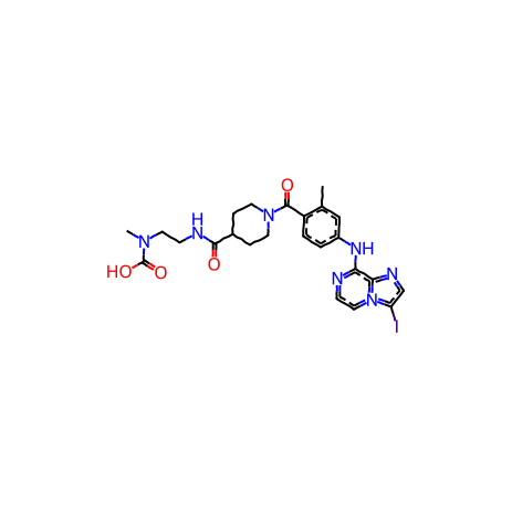 Cc1cc(Nc2nccn3c(I)cnc23)ccc1C(=O)N1CCC(C(=O)NCCN(C)C(=O)O)CC1